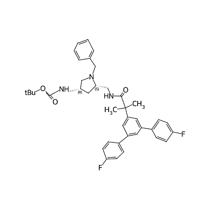 CC(C)(C)OC(=O)NC[C@H]1C[C@@H](CNC(=O)C(C)(C)c2cc(-c3ccc(F)cc3)cc(-c3ccc(F)cc3)c2)N(Cc2ccccc2)C1